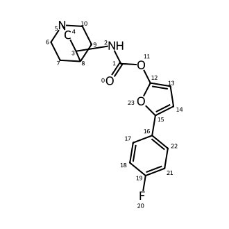 O=C(NC1CN2CCC1CC2)Oc1ccc(-c2ccc(F)cc2)o1